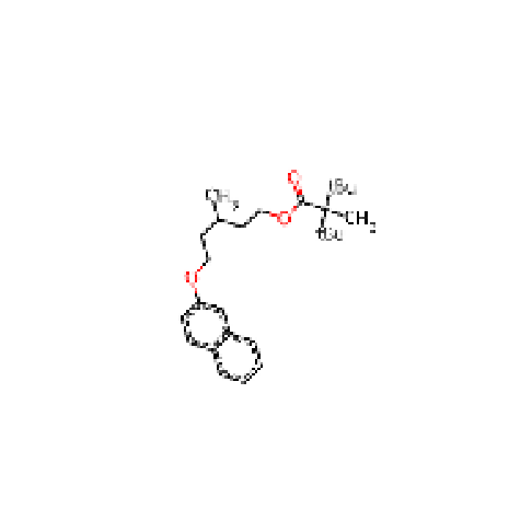 CC(CCOC(=O)C(C)(C(C)(C)C)C(C)(C)C)CCOc1ccc2ccccc2c1